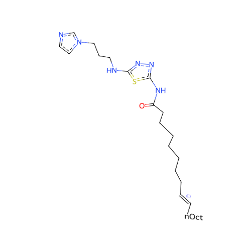 CCCCCCCC/C=C/CCCCCCCC(=O)Nc1nnc(NCCCn2ccnc2)s1